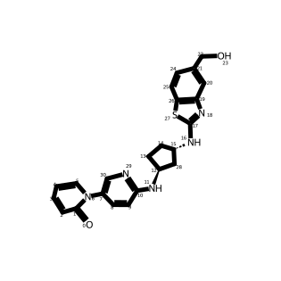 O=c1ccccn1-c1ccc(N[C@H]2CC[C@H](Nc3nc4cc(CO)ccc4s3)C2)nc1